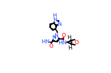 CNC(=O)c1cc(C(=O)N[C@H]2[C@@H]3COC[C@@H]32)n(Cc2cccc3[nH]cnc23)n1